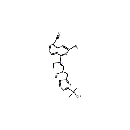 C=NN(/C=C(\CC)c1nc(N)nc2c(C#N)cccc12)Cc1cccc(C(C)(C)O)n1